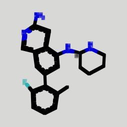 Cc1cccc(F)c1-c1cc(N[C@@H]2CCCCN2)c2cc(N)ncc2c1